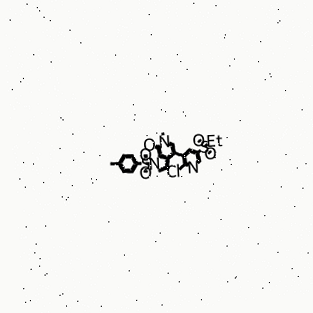 CCS(=O)(=O)c1cnc(Cl)c(-c2cn(C)c(=O)c3c2ccn3S(=O)(=O)c2ccc(C)cc2)c1